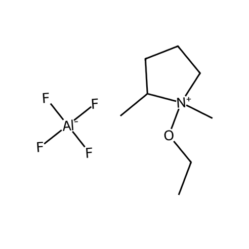 CCO[N+]1(C)CCCC1C.[F][Al-]([F])([F])[F]